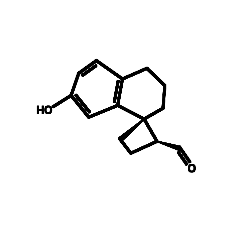 O=C[C@H]1CC[C@@]12CCCc1ccc(O)cc12